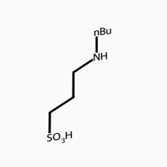 CCCCNCCCS(=O)(=O)O